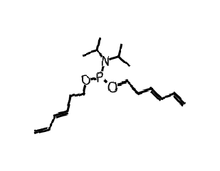 C=C/C=C/CCOP(OCC/C=C/C=C)N(C(C)C)C(C)C